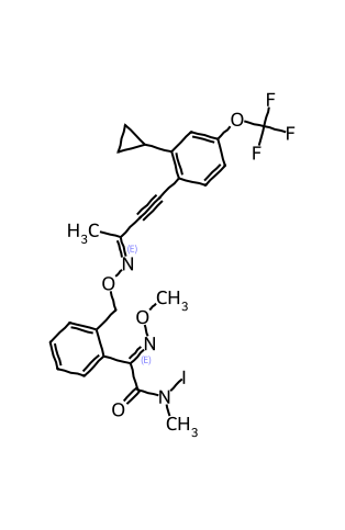 CO/N=C(/C(=O)N(C)I)c1ccccc1CO/N=C(\C)C#Cc1ccc(OC(F)(F)F)cc1C1CC1